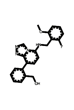 COc1cccc(F)c1CNc1ccc(-c2ccccc2CO)c2nncn12